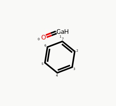 [O]=[GaH].c1ccccc1